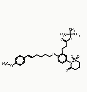 COc1ccc(/C=C/CCCCOc2ccc(N3C(=O)CCCS3(=O)=O)cc2CCC(=O)OC(C)(C)C)cc1